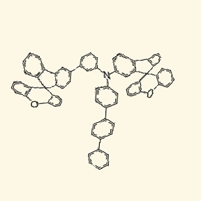 c1ccc(-c2ccc(-c3ccc(N(c4cccc(-c5ccc6c(c5)-c5ccccc5C65c6ccccc6Oc6ccccc65)c4)c4ccc5c(c4)C4(c6ccccc6Oc6ccccc64)c4ccccc4-5)cc3)cc2)cc1